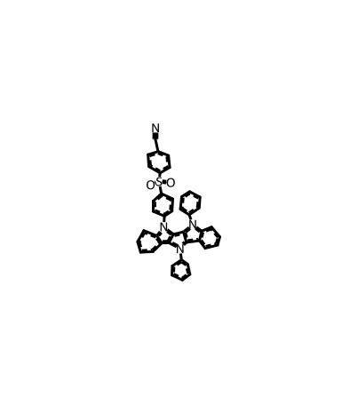 N#Cc1ccc(S(=O)(=O)c2ccc(-n3c4ccccc4c4c3c3c(c5ccccc5n3-c3ccccc3)n4-c3ccccc3)cc2)cc1